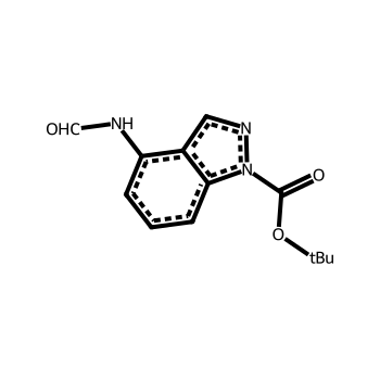 CC(C)(C)OC(=O)n1ncc2c(NC=O)cccc21